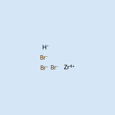 [Br-].[Br-].[Br-].[H-].[Zr+4]